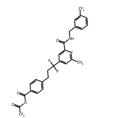 Cc1cc(C(F)(F)CCc2ccc(C(=O)OC(=O)C(F)(F)F)cc2)cc(C(=O)NCc2cccc(C(F)(F)F)c2)n1